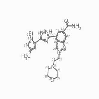 CCn1nc(C)cc1-c1n[nH]c(-c2cc(C(N)=O)cc3nn(CCN4CCOCC4)cc23)n1